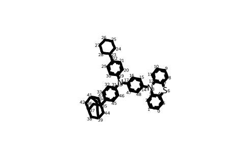 c1ccc2c(c1)Sc1ccccc1N2c1ccc(N(c2ccc(C3CCCCC3)cc2)c2ccc(C34CC5CC(CC(C5)C3)C4)cc2)cc1